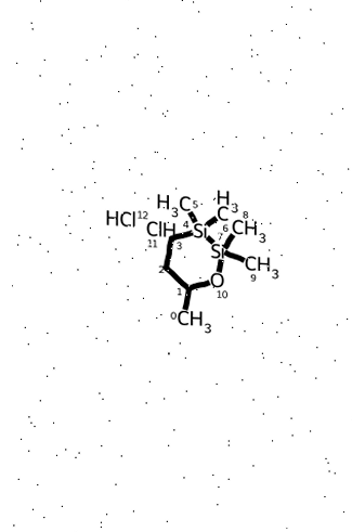 CC1CC[Si](C)(C)[Si](C)(C)O1.Cl.Cl